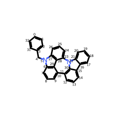 c1ccc(Cn2c3cccc4c5cccc6c7ccccc7n(c7cccc2c7c43)c56)cc1